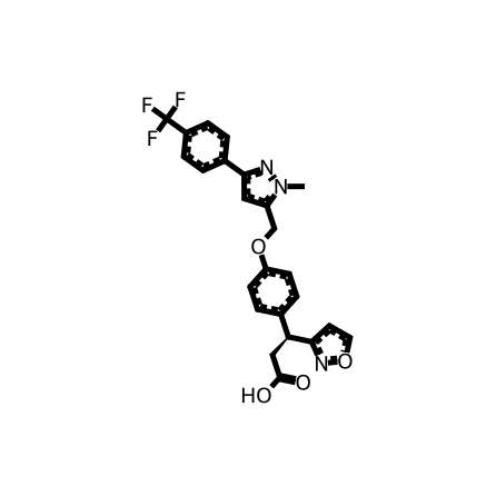 Cn1nc(-c2ccc(C(F)(F)F)cc2)cc1COc1ccc([C@H](CC(=O)O)c2ccon2)cc1